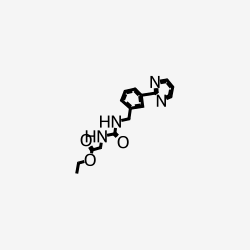 CCOC(=O)CNC(=O)NCc1cccc(-c2ncccn2)c1